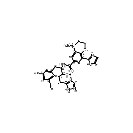 CCCCN1CCOc2c(-c3ncco3)cc(C(=O)NC(Cc3cc(F)cc(F)c3)C(O)CCc3ncn[nH]3)cc21